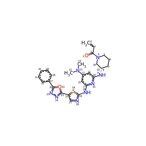 C=CC(=O)N1CCC[C@H](Nc2cc(N(C)C)cc(Nc3ncc(-c4nnc(-c5ccccc5)o4)s3)n2)C1